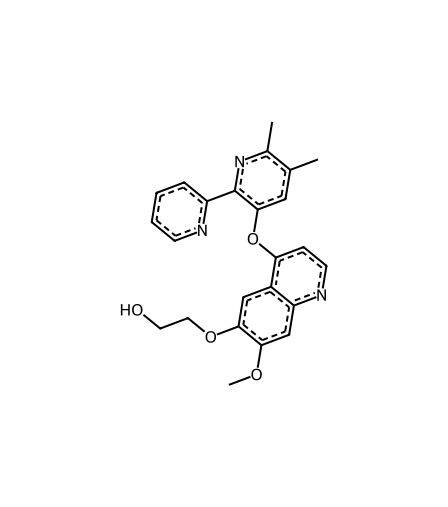 COc1cc2nccc(Oc3cc(C)c(C)nc3-c3ccccn3)c2cc1OCCO